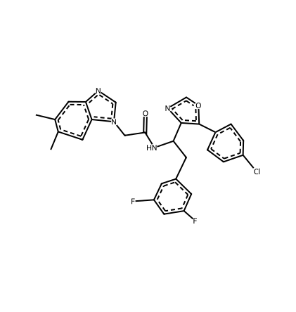 Cc1cc2ncn(CC(=O)NC(Cc3cc(F)cc(F)c3)c3ncoc3-c3ccc(Cl)cc3)c2cc1C